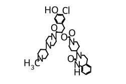 CN1CCC(N2CCN(C(=O)C(Cc3ccc(O)c(Cl)c3)OC(=O)N3CCC(N4CCc5ccccc5NC4=O)CC3)CC2)CC1